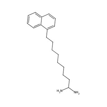 NC(N)CCCCCCCCc1cccc2ccccc12